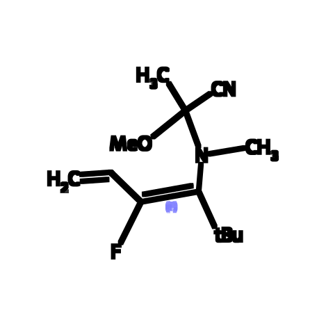 C=C/C(F)=C(\N(C)C(C)(C#N)OC)C(C)(C)C